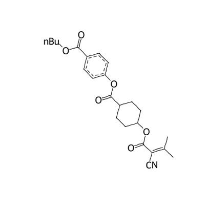 CCCCOC(=O)c1ccc(OC(=O)C2CCC(OC(=O)C(C#N)=C(C)C)CC2)cc1